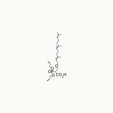 C=CCOP(=O)(OCC=C)C(COC/C=C(\C)CC/C=C(\C)CCC=C(C)C)C(=O)O